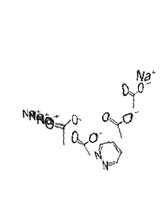 CC(=O)[O-].CC(=O)[O-].CC(=O)[O-].CC(=O)[O-].[Na+].[Na+].[Na+].[Na+].c1ccnnc1